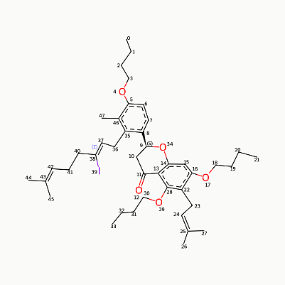 CCCCOc1ccc([C@@H]2CC(=O)c3c(cc(OCCCC)c(CC=C(C)C)c3OCCCC)O2)c(C/C=C(\I)CCC=C(C)C)c1C